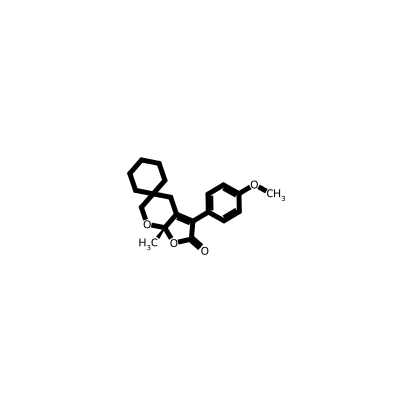 COc1ccc(C2=C3CC4(CCCCC4)CO[C@@]3(C)OC2=O)cc1